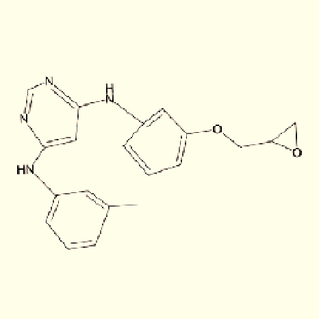 Cc1cccc(Nc2cc(Nc3cccc(OCC4CO4)c3)ncn2)c1